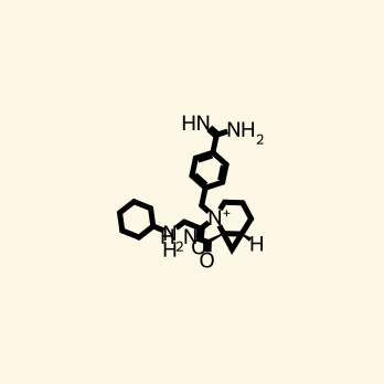 N=C(N)c1ccc(C[N+]2(C(=O)CNC3CCCCC3)CCC[C@@H]3C[C@@]32C(N)=O)cc1